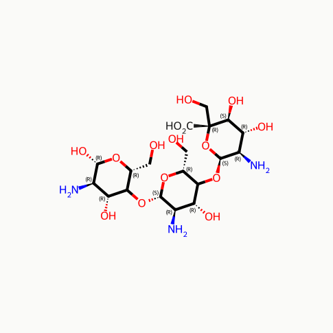 N[C@H]1[C@@H](OC2[C@@H](CO)O[C@@H](OC3[C@@H](CO)O[C@@H](O)[C@H](N)[C@H]3O)[C@H](N)[C@H]2O)O[C@@](CO)(C(=O)O)[C@@H](O)[C@@H]1O